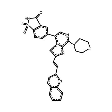 O=C1NS(=O)(=O)c2ccc(-c3cnc(N4CCOCC4)c4nc(/C=C/c5ccc6ccccc6n5)cn34)cc21